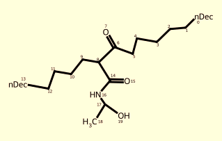 CCCCCCCCCCCCCCCC(=O)C(CCCCCCCCCCCCCC)C(=O)NC(C)O